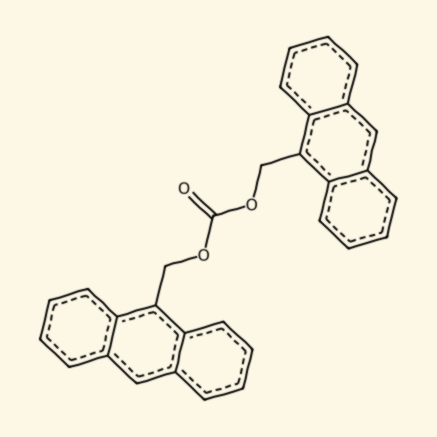 O=C(OCc1c2ccccc2cc2ccccc12)OCc1c2ccccc2cc2ccccc12